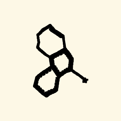 Brc1cc2c(c3ccccc13)CCC=C2